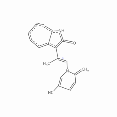 C=C1C=CC(C#N)=CN1/C=C(\C)c1c2cccccc-2[nH]c1=O